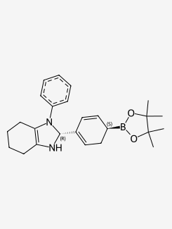 CC1(C)OB([C@@H]2C=CC([C@@H]3NC4=C(CCCC4)N3c3ccccc3)=CC2)OC1(C)C